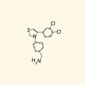 NCc1ccc(N2CSC=C2c2ccc(Cl)c(Cl)c2)cc1